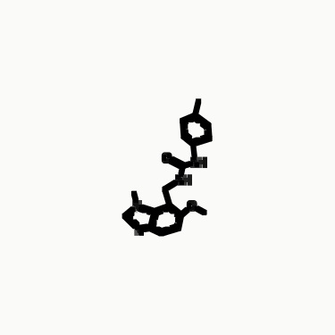 COc1ccc2ncn(C)c2c1CNC(=O)Nc1ccc(C)cc1